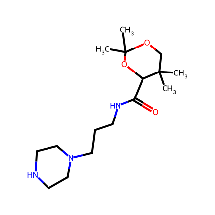 CC1(C)OCC(C)(C)C(C(=O)NCCCN2CCNCC2)O1